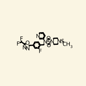 CSN1CCN(S(=O)(=O)N(Cc2ccc(-c3nnc(C(F)F)o3)cc2F)c2cccnc2)CC1